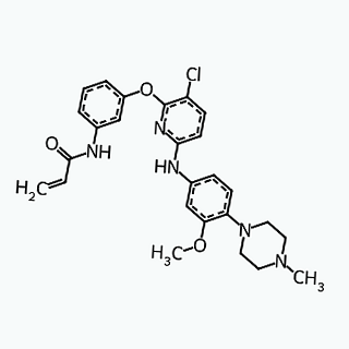 C=CC(=O)Nc1cccc(Oc2nc(Nc3ccc(N4CCN(C)CC4)c(OC)c3)ccc2Cl)c1